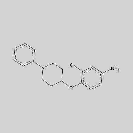 Nc1ccc(OC2CCN(c3ccccc3)CC2)c(Cl)c1